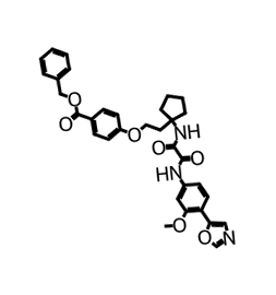 COc1cc(NC(=O)C(=O)NC2(CCOc3ccc(C(=O)OCc4ccccc4)cc3)CCCC2)ccc1-c1cnco1